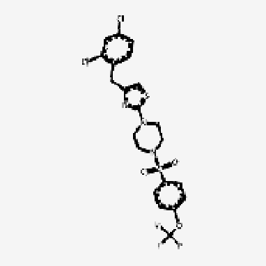 O=S(=O)(c1ccc(OC(F)(F)F)cc1)N1CCN(c2nc(Cc3ccc(Cl)cc3Cl)cs2)CC1